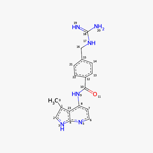 Cc1c[nH]c2nccc(NC(=O)c3ccc(CNC(=N)N)cc3)c12